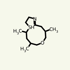 CC1COCC(C)CC(C)[SH]2CCN=C2C1